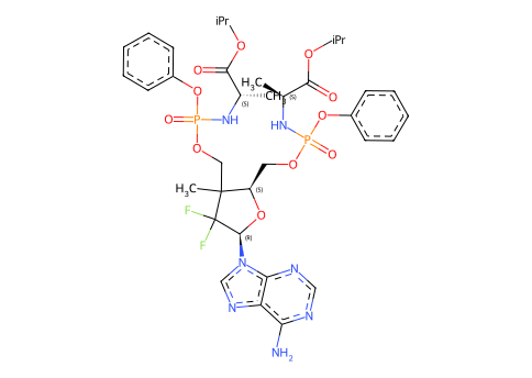 CC(C)OC(=O)[C@H](C)NP(=O)(OC[C@H]1O[C@@H](n2cnc3c(N)ncnc32)C(F)(F)C1(C)COP(=O)(N[C@@H](C)C(=O)OC(C)C)Oc1ccccc1)Oc1ccccc1